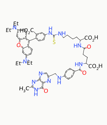 CCN(CC)c1ccc2c(-c3ccc(NC(=S)NCCCCC(NC(=O)CCC(NC(=O)c4ccc(NCc5cnc6nc(C)[nH]c(=O)c6n5)cc4)C(=O)O)C(=O)O)cc3C(=O)O)c3ccc(=[N+](CC)CC)cc-3oc2c1